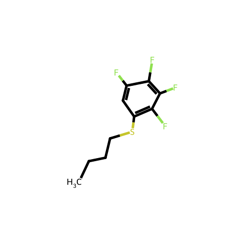 CCCCSc1cc(F)c(F)c(F)c1F